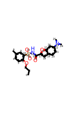 CCCOc1ccc(C)cc1S(=O)(=O)NC(=O)c1cc2ccc(N(C)C)cc2o1